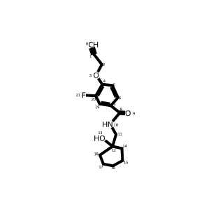 C#CCOc1ccc(C(=O)NCC2(O)CCCCC2)cc1F